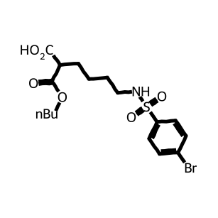 CCCCOC(=O)C(CCCCNS(=O)(=O)c1ccc(Br)cc1)C(=O)O